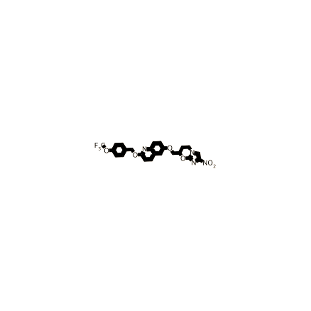 O=[N+]([O-])c1cn2c(n1)OC(COc1ccc3nc(OCc4ccc(OC(F)(F)F)cc4)ccc3c1)CC2